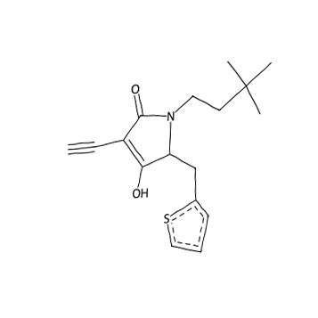 C#CC1=C(O)C(Cc2cccs2)N(CCC(C)(C)C)C1=O